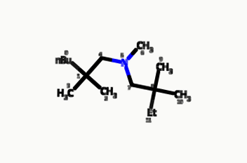 CCCCC(C)(C)CN(C)CC(C)(C)CC